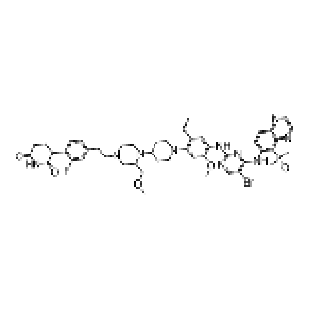 CCc1cc(Nc2ncc(Br)c(Nc3ccc4nccnc4c3P(C)(C)=O)n2)c(OC)cc1N1CCC(N2CCN(CCc3ccc(C4CCC(=O)NC4=O)c(F)c3)CC2COC)CC1